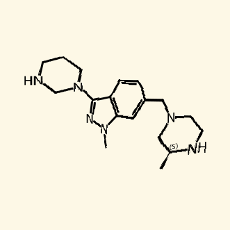 C[C@H]1CN(Cc2ccc3c(N4CCCNC4)nn(C)c3c2)CCN1